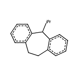 CC(C)C1c2ccccc2CCc2ccccc21